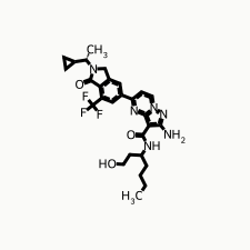 CCCCC(CCO)NC(=O)c1c(N)nn2ccc(-c3cc4c(c(C(F)(F)F)c3)C(=O)N([C@@H](C)C3CC3)C4)nc12